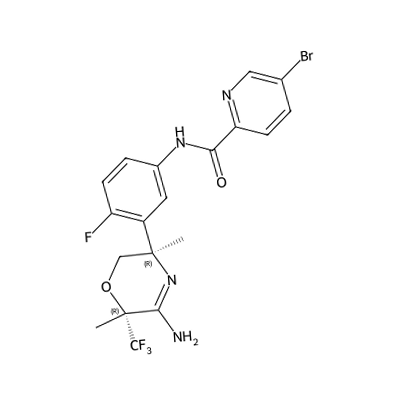 C[C@@]1(c2cc(NC(=O)c3ccc(Br)cn3)ccc2F)CO[C@@](C)(C(F)(F)F)C(N)=N1